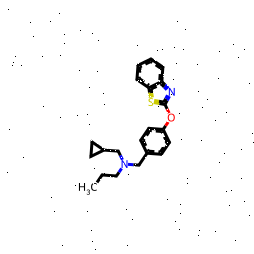 CCCN(Cc1ccc(Oc2nc3ccccc3s2)cc1)CC1CC1